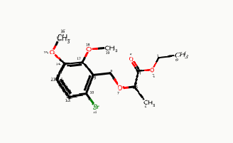 CCOC(=O)C(C)OCc1c(Br)ccc(OC)c1OC